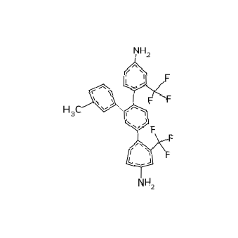 Cc1cccc(-c2cc(-c3ccc(N)cc3C(F)(F)F)ccc2-c2ccc(N)cc2C(F)(F)F)c1